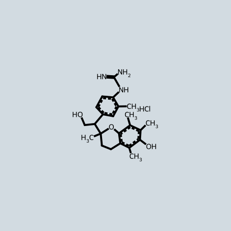 Cc1cc(C(CO)C2(C)CCc3c(C)c(O)c(C)c(C)c3O2)ccc1NC(=N)N.Cl